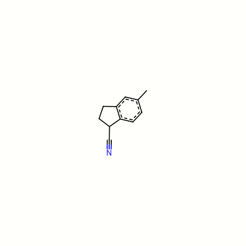 Cc1ccc2c(c1)CCC2C#N